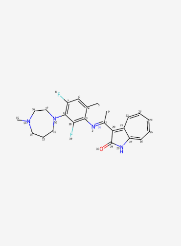 C/C(=N\c1c(C)cc(F)c(N2CCCN(C)CC2)c1F)c1c2cccccc-2[nH]c1=O